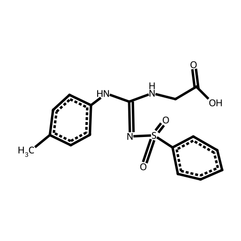 Cc1ccc(NC(=NS(=O)(=O)c2ccccc2)NCC(=O)O)cc1